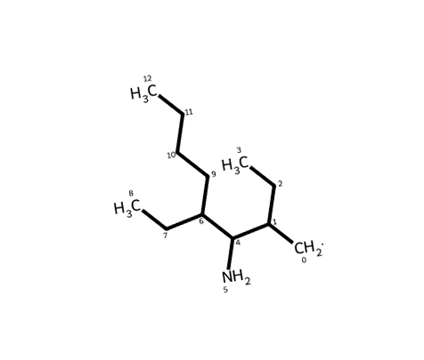 [CH2]C(CC)C(N)C(CC)CCCC